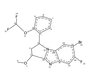 COC1CC(c2ccccc2OC(F)F)n2c1nc1cc(F)c(Br)cc12